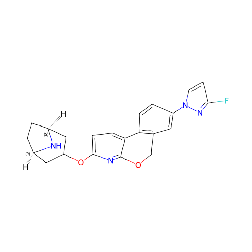 Fc1ccn(-c2ccc3c(c2)COc2nc(OC4C[C@H]5CC[C@@H](C4)N5)ccc2-3)n1